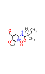 CCC(C)(C)C(=O)Nc1cc(C=O)c2c([n+]1O)CCO2